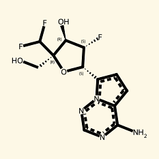 Nc1ncnn2c([C@@H]3O[C@@](CO)(C(F)F)[C@@H](O)[C@@H]3F)ccc12